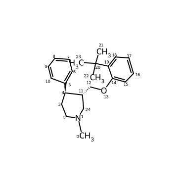 CN1CC[C@@H](c2ccccc2)[C@H](COc2ccccc2C(C)(C)C)C1